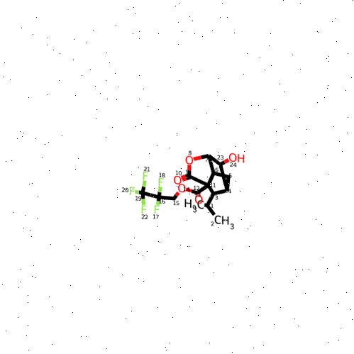 CC(C)C1C2CC3C(OC(=O)C31C(=O)OCC(F)(F)C(F)(F)F)C2O